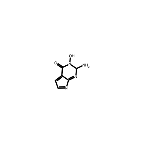 NC1N=C2N=CC=C2C(=O)N1O